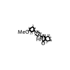 COc1cccc(N2CCN(c3nc4c(c(=O)[nH]3)CCCC4)CC2)c1